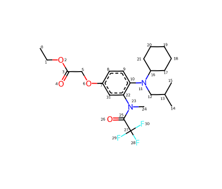 CCOC(=O)COc1ccc(N(CC(C)C)C2CCCCC2)c(N(C)C(=O)C(F)(F)F)c1